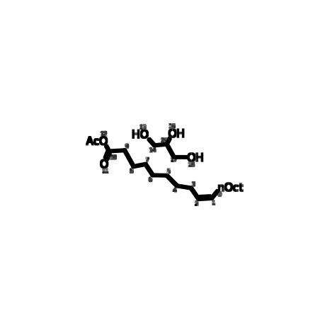 CCCCCCCC/C=C\CCCCCCCC(=O)OC(C)=O.OCC(O)CO